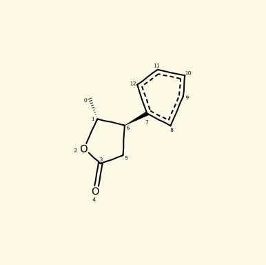 C[C@H]1OC(=O)C[C@@H]1c1ccccc1